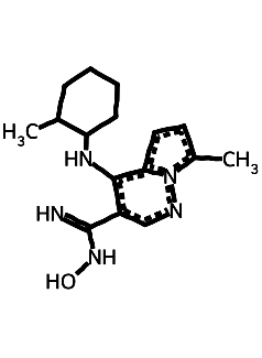 Cc1ccc2c(NC3CCCCC3C)c(C(=N)NO)cnn12